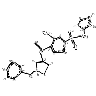 CN(c1ccc(S(=O)(=O)Nc2ncns2)cc1Cl)C1CCN(Cc2ccccc2)C1